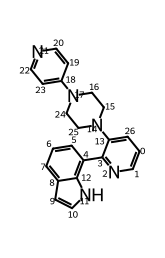 c1cnc(-c2cccc3cc[nH]c23)c(N2CCN(c3ccncc3)CC2)c1